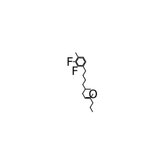 CCCC1=CCC(CCCCc2ccc(C)c(F)c2F)CO1